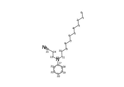 CCCCCCCCCCCCN(CCC#N)c1ccccc1